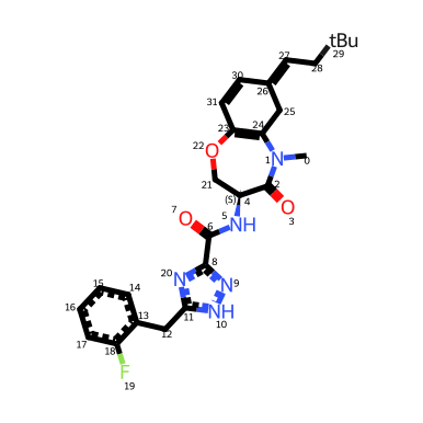 CN1C(=O)[C@@H](NC(=O)c2n[nH]c(Cc3ccccc3F)n2)COC2=C1CC(=CCC(C)(C)C)C=C2